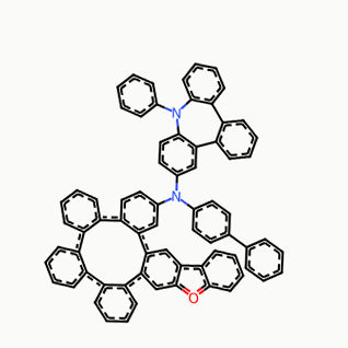 c1ccc(-c2ccc(N(c3ccc4c(c3)-c3ccccc3-c3ccccc3N4c3ccccc3)c3ccc4c5ccccc5c5ccccc5c5ccccc5c5cc6oc7ccccc7c6cc5c4c3)cc2)cc1